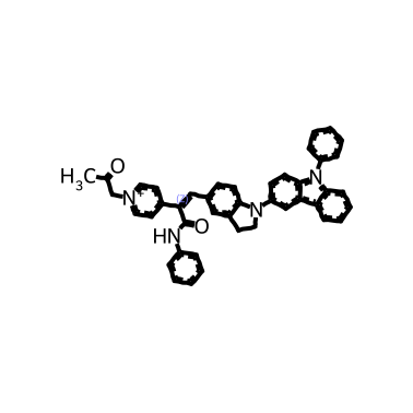 CC(=O)C[n+]1ccc(/C(=C/c2ccc3c(c2)CCN3c2ccc3c(c2)c2ccccc2n3-c2ccccc2)C(=O)Nc2ccccc2)cc1